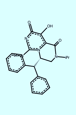 CCOc1nc(=O)c(O)c2n1[C@@H](C(c1ccccc1)c1ccccc1)CN(C(C)C)C2=O